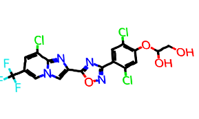 OCC(O)Oc1cc(Cl)c(-c2noc(-c3cn4cc(C(F)(F)F)cc(Cl)c4n3)n2)cc1Cl